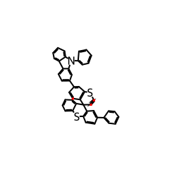 c1ccc(-c2ccc3c(c2)C2(c4ccccc4Sc4cc(-c5ccc6c7ccccc7n(-c7ccccc7)c6c5)ccc42)c2ccccc2S3)cc1